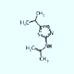 C=C(C)Nc1ncc(C(C)C)s1